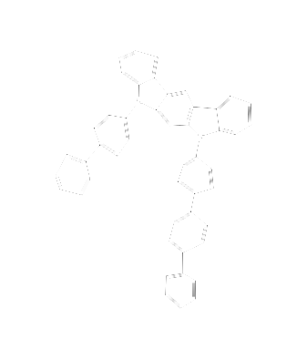 c1ccc(-c2ccc(-c3ccc(-n4c5ccccc5c5cc6c7ccccc7n(-c7ccc(-c8ccccc8)cc7)c6cc54)cc3)cc2)cc1